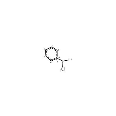 ClC(I)[n+]1ccccc1